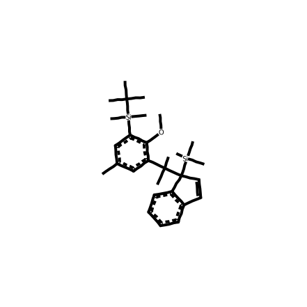 COc1c(C(C)(C)C2([Si](C)(C)C)C=Cc3ccccc32)cc(C)cc1[Si](C)(C)C(C)(C)C